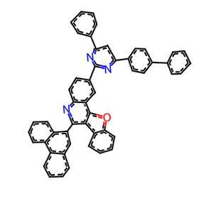 c1ccc(-c2ccc(-c3cc(-c4ccccc4)nc(-c4ccc5nc(-c6cc7ccccc7c7ccccc67)c6c7ccccc7oc6c5c4)n3)cc2)cc1